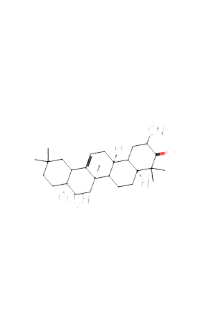 C[C@@H]1C(C#N)C(=O)C(C)(C)[C@@H]2CC[C@]3(C)[C@H](CC=C4C5CC(C)(C)CC[C@]5(C(=O)O)CC[C@]43C)C12